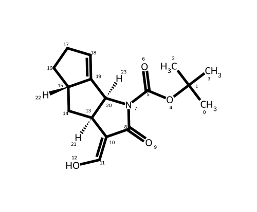 CC(C)(C)OC(=O)N1C(=O)/C(=C/O)[C@H]2C[C@@H]3CCC=C3[C@H]21